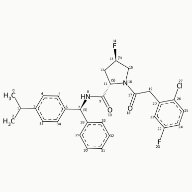 CC(C)c1ccc([C@@H](NC(=O)[C@@H]2C[C@@H](F)CN2C(=O)Cc2cc(F)ccc2Cl)c2ccccc2)cc1